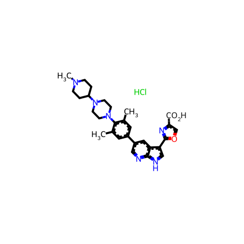 Cc1cc(-c2cnc3[nH]cc(-c4nc(C(=O)O)co4)c3c2)cc(C)c1N1CCN(C2CCN(C)CC2)CC1.Cl